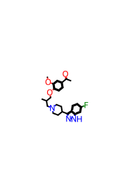 COc1cc(C(C)=O)ccc1OCC(C)CN1CCC(c2n[nH]c3cc(F)ccc23)CC1